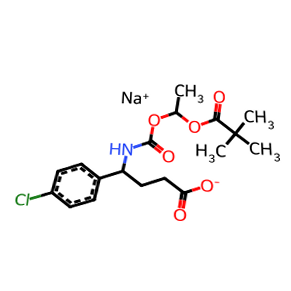 CC(OC(=O)NC(CCC(=O)[O-])c1ccc(Cl)cc1)OC(=O)C(C)(C)C.[Na+]